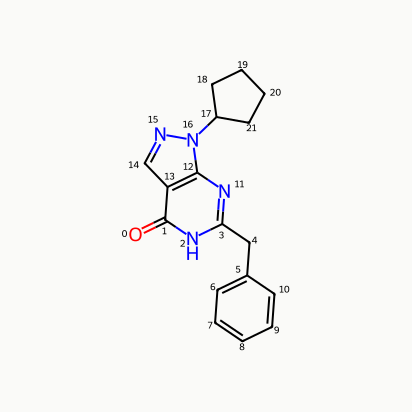 O=c1[nH]c(Cc2ccccc2)nc2c1cnn2C1CCCC1